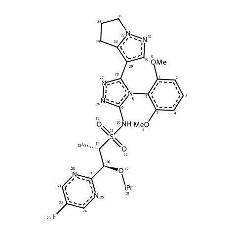 COc1cccc(OC)c1-n1c(NS(=O)(=O)[C@@H](C)[C@@H](OC(C)C)c2ncc(F)cn2)nnc1-c1cnn2c1CCC2